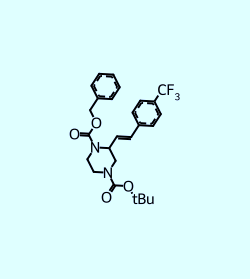 CC(C)(C)OC(=O)N1CCN(C(=O)OCc2ccccc2)C(C=Cc2ccc(C(F)(F)F)cc2)C1